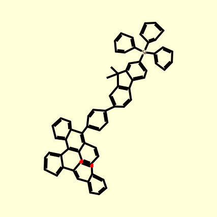 CC1(C)c2cc(-c3ccc(-c4c5ccccc5c(-c5ccccc5-c5ccc6ccccc6c5)c5ccccc45)cc3)ccc2-c2ccc([Si](c3ccccc3)(c3ccccc3)c3ccccc3)cc21